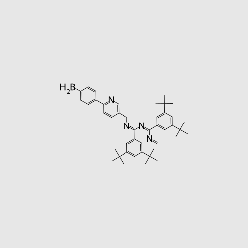 Bc1ccc(-c2ccc(C/N=C(\N=C(/N=C)c3cc(C(C)(C)C)cc(C(C)(C)C)c3)c3cc(C(C)(C)C)cc(C(C)(C)C)c3)cn2)cc1